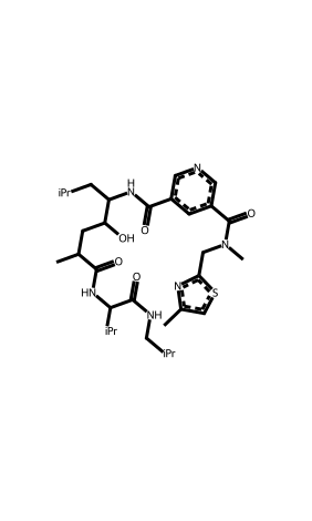 Cc1csc(CN(C)C(=O)c2cncc(C(=O)NC(CC(C)C)C(O)CC(C)C(=O)NC(C(=O)NCC(C)C)C(C)C)c2)n1